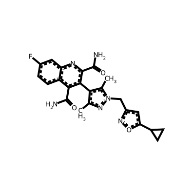 Cc1nn(Cc2cc(C3CC3)on2)c(C)c1-c1c(C(N)=O)nc2cc(F)ccc2c1C(N)=O